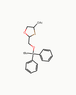 CC(=O)OC1COC(CO[Si](c2ccccc2)(c2ccccc2)C(C)(C)C)S1